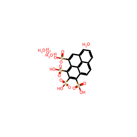 O.O.O.O.O=S(=O)(O)c1c(S(=O)(=O)O)c2ccc3cccc4cc(S(=O)(=O)O)c(c1S(=O)(=O)O)c2c34